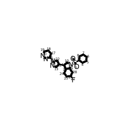 O=S(=O)(c1ccccc1)n1cc(-c2cnn(-c3cccnn3)c2)c2ccc(F)cc21